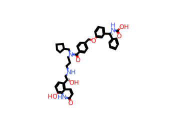 O=C(O)N[C@@H](c1ccccc1)c1cccc(OCc2ccc(C(=O)N(CCCNC[C@H](O)c3ccc(O)c4[nH]c(=O)ccc34)CC3CCCC3)cc2)c1